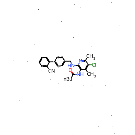 CCCCC(=O)Nc1c(NCc2ccc(-c3ccccc3C#N)cc2)nc(C)c(Cl)c1C